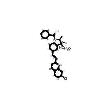 CC(OC(=O)c1ccccc1)[C@](C)(O)c1cccc(/C=C/c2ccc3ccc(Cl)cc3n2)c1.O